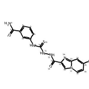 NC(=O)c1cccc(NC(=S)NNC(=O)c2cn3ccc(Cl)cc3n2)c1